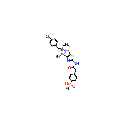 CCS(=O)(=O)c1ccc(CC(=O)Nc2nc3c(s2)CN([C@@H](C)Cc2ccc(Cl)cc2)[C@H]3C(C)C)cc1